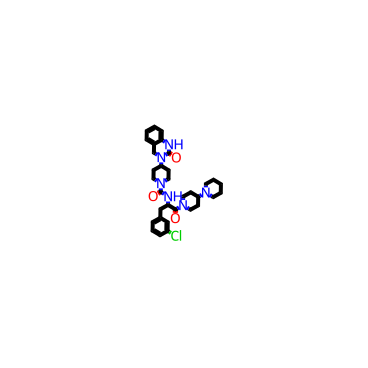 O=C(NC(Cc1cccc(Cl)c1)C(=O)N1CCC(N2CCCCC2)CC1)N1CCC(N2Cc3ccccc3NC2=O)CC1